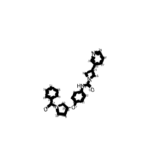 O=C(Nc1ccc(O[C@@H]2CCN(C(=O)c3ccccc3)C2)cc1)N1CC(c2cccnc2)C1